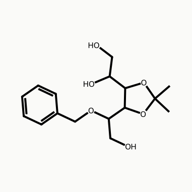 CC1(C)OC(C(O)CO)C(C(CO)OCc2ccccc2)O1